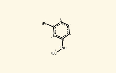 CC(C)c1nccc(NC(C)(C)C)n1